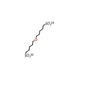 O=S(=O)(O)CCCCCOCCCCCS(=O)(=O)O